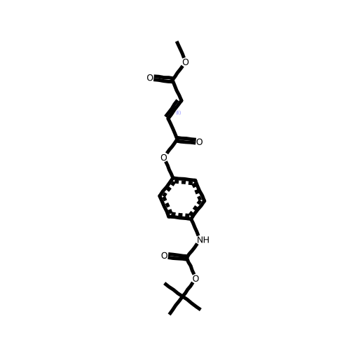 COC(=O)/C=C/C(=O)Oc1ccc(NC(=O)OC(C)(C)C)cc1